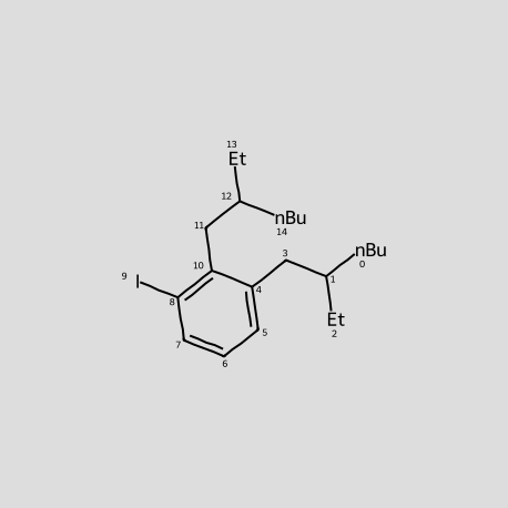 CCCCC(CC)Cc1cccc(I)c1CC(CC)CCCC